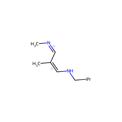 C/N=C\C(C)=C/NCC(C)C